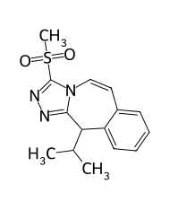 CC(C)C1c2ccccc2C=Cn2c1nnc2S(C)(=O)=O